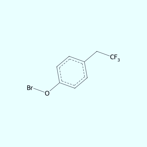 FC(F)(F)Cc1ccc(OBr)cc1